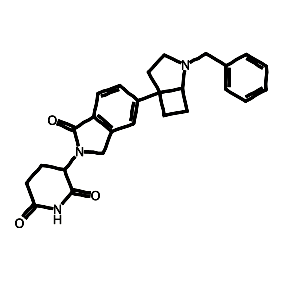 O=C1CCC(N2Cc3cc(C45CCC4N(Cc4ccccc4)CC5)ccc3C2=O)C(=O)N1